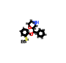 CCSc1ccccc1OC(c1ccccc1)[C@@H]1CNCCO1